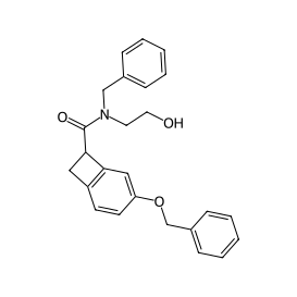 O=C(C1Cc2ccc(OCc3ccccc3)cc21)N(CCO)Cc1ccccc1